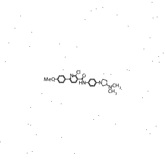 COc1ccc(-c2ccc(C(=O)Nc3ccc(N4CCC(N(C)C)C4)cc3)c(Cl)n2)cc1